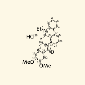 CCN(c1ccccc1)C1CC(C)N(C(=O)c2ccc(OC)c(OC)c2)c2ccccc21.Cl